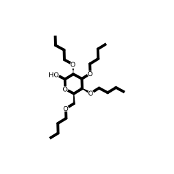 CCCCOC[C@H]1OC(O)[C@H](OCCCC)C(OCCCC)[C@H]1OCCCC